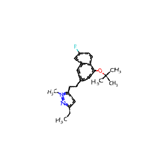 CCc1cc(CCc2cc(OC(C)(C)C)c3ccc(F)cc3c2)n(C)n1